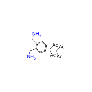 CC(=O)CC(C)=O.CC(=O)CC(C)=O.NCc1ccccc1CN